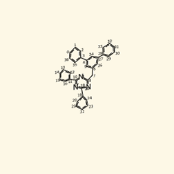 c1ccc(-c2cc(Cc3nc(-c4ccccc4)nc(-c4ccccc4)n3)cc(-c3ccccc3)c2)cc1